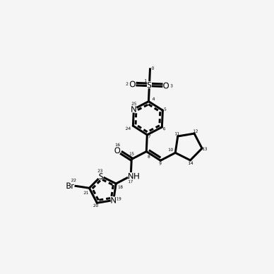 CS(=O)(=O)c1ccc(/C(=C\C2CCCC2)C(=O)Nc2ncc(Br)s2)cn1